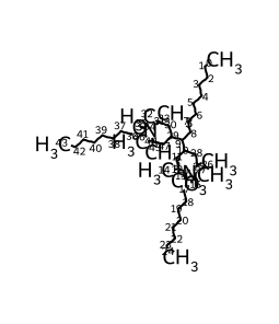 CCCCCCCCCC(C1CC(C)(C)N(OCCCCCCCC)C(C)(C)C1)C1CC(C)(C)N(OCCCCCCCC)C(C)(C)C1